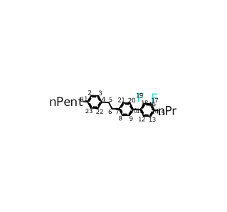 CCCCCc1ccc(CCc2ccc(-c3ccc(CCC)c(F)c3F)cc2)cc1